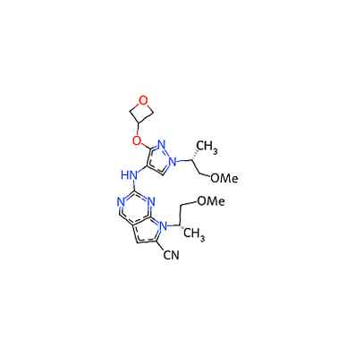 COC[C@@H](C)n1cc(Nc2ncc3cc(C#N)n([C@@H](C)COC)c3n2)c(OC2COC2)n1